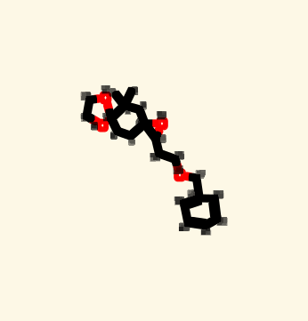 CC1(C)CC2(CCC13OCCO3)OC2CCOCc1ccccc1